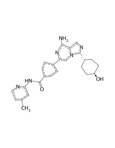 Cc1ccnc(NC(=O)c2ccc(-c3cn4c(cnc4[C@H]4CC[C@H](O)CC4)c(N)n3)cc2)c1